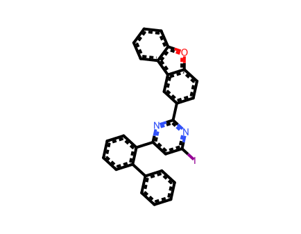 Ic1cc(-c2ccccc2-c2ccccc2)nc(-c2ccc3oc4ccccc4c3c2)n1